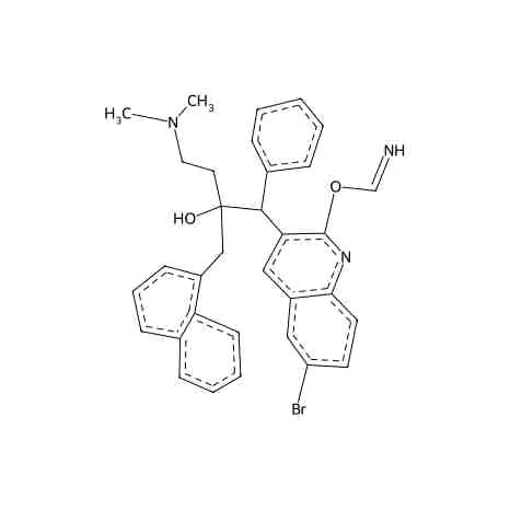 CN(C)CCC(O)(Cc1cccc2ccccc12)C(c1ccccc1)c1cc2cc(Br)ccc2nc1OC=N